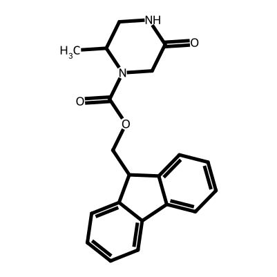 CC1CNC(=O)CN1C(=O)OCC1c2ccccc2-c2ccccc21